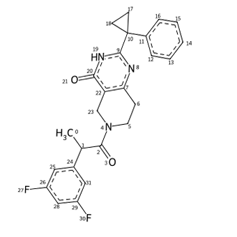 CC(C(=O)N1CCc2nc(C3(c4ccccc4)CC3)[nH]c(=O)c2C1)c1cc(F)cc(F)c1